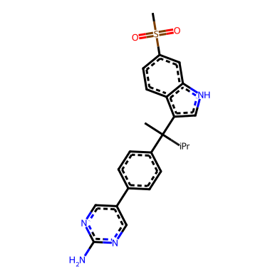 CC(C)C(C)(c1ccc(-c2cnc(N)nc2)cc1)c1c[nH]c2cc(S(C)(=O)=O)ccc12